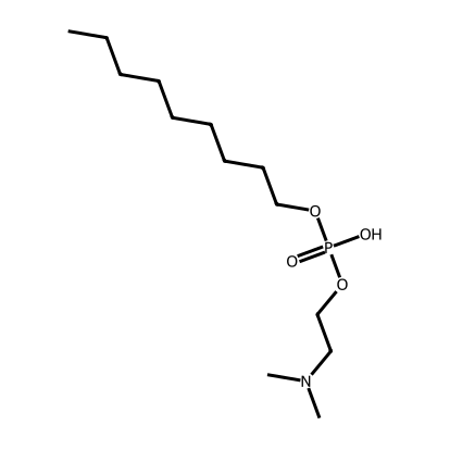 CCCCCCCCCOP(=O)(O)OCCN(C)C